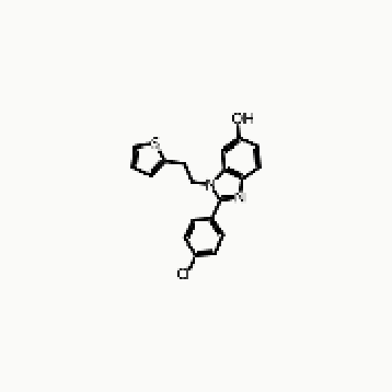 Oc1ccc2nc(-c3ccc(Cl)cc3)n(CCc3cccs3)c2c1